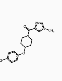 Cn1cnc(C(=O)N2CCC(Oc3ccc(Cl)cc3)CC2)c1